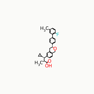 Cc1ccc(F)c(-c2ccc([C@@H]3Cc4cc([C@H](C5CC5)[C@H](C)C(=O)O)ccc4CO3)cc2)c1